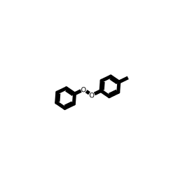 Cc1ccc(OOc2ccccc2)cc1